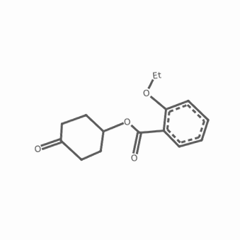 CCOc1ccccc1C(=O)OC1CCC(=O)CC1